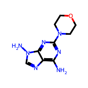 Nc1nc(N2CCOCC2)nc2c1ncn2N